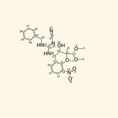 COC(OC)C1(C)Oc2c(cccc2[N+](=O)[O-])C(NC(=NC#N)NCc2ccccc2)C1O